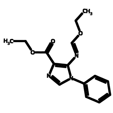 CCO/C=N/c1c(C(=O)OCC)ncn1-c1ccccc1